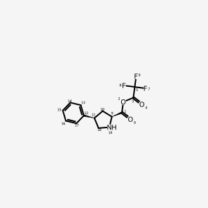 O=C(OC(=O)C(F)(F)F)[C@@H]1C[C@H](c2ccccc2)CN1